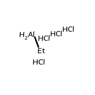 C[CH2][AlH2].Cl.Cl.Cl.Cl